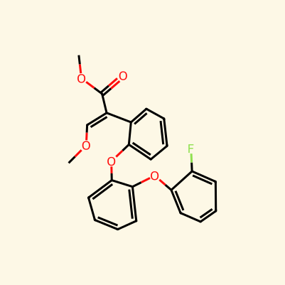 CO/C=C(/C(=O)OC)c1ccccc1Oc1ccccc1Oc1ccccc1F